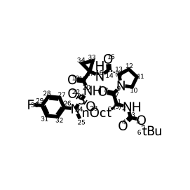 CCCCCCCC[C@H](NC(=O)OC(C)(C)C)C(=O)N1CCC[C@H]1C(=O)NC1(C(=O)NS(=O)(=O)N(C)c2ccc(F)cc2)CC1